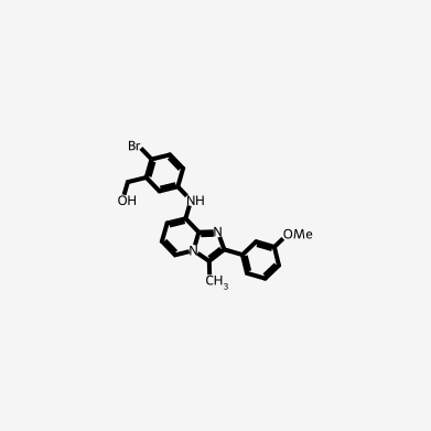 COc1cccc(-c2nc3c(Nc4ccc(Br)c(CO)c4)cccn3c2C)c1